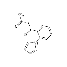 O=C(CC(=O)C(F)(F)F)c1ccccc1[SH]1C=CC=C1